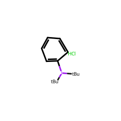 CC(C)(C)I(c1ccccc1)C(C)(C)C.Cl